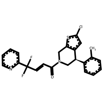 Cc1ccccc1[C@H]1CN(C(=O)/C=C/C(F)(F)c2ccccn2)Cc2sc(Cl)cc21